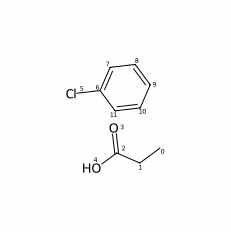 CCC(=O)O.Clc1ccccc1